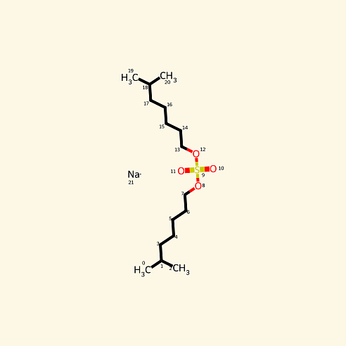 CC(C)CCCCCOS(=O)(=O)OCCCCCC(C)C.[Na]